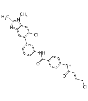 Cc1nc2cc(-c3cccc(NC(=O)c4ccc(NC(=O)/C=C/CCl)cc4)c3)c(Cl)cc2n1C